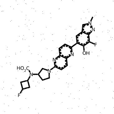 Cn1cc2cc(-c3ccc4nc(N5CCC(N(C(=O)O)C6CC(F)C6)C5)ccc4n3)c(O)c(F)c2n1